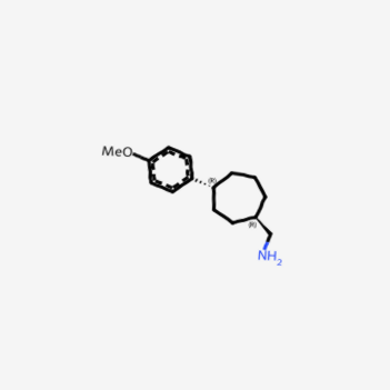 COc1ccc([C@@H]2CCC[C@@H](CN)CC2)cc1